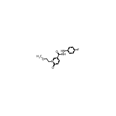 COCCn1cc(C(=O)NNc2ccc(F)cc2)ccc1=O